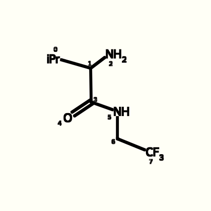 CC(C)C(N)C(=O)NCC(F)(F)F